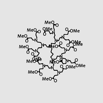 COCC(=O)CN(CCC(=O)OC)CCN(CCN(CCC(=O)OC)CCC(=O)OC)CCN(CCCCN(CCN(CCN(CCC(=O)OC)CCC(=O)OC)CCN(CCC(=O)OC)CCC(=O)OC)CCN(CCN(CCC(=O)OC)CCC(=O)OC)CCN(CCC(=O)OC)CCC(=O)OC)CCN(CCN(CCC(=O)OC)CCC(=O)OC)CCN(CCC(=O)OC)CCC(=O)OC